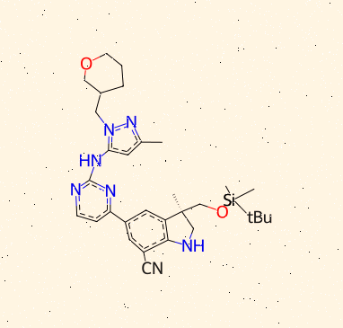 Cc1cc(Nc2nccc(-c3cc(C#N)c4c(c3)[C@@](C)(CO[Si](C)(C)C(C)(C)C)CN4)n2)n(CC2CCCOC2)n1